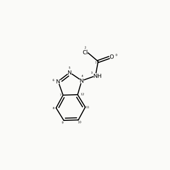 O=C(Cl)Nn1nnc2ccccc21